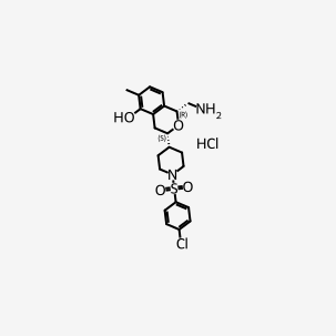 Cc1ccc2c(c1O)C[C@@H](C1CCN(S(=O)(=O)c3ccc(Cl)cc3)CC1)O[C@H]2CN.Cl